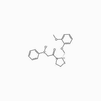 COc1ccccc1OC[C@@H]1SCCN1C(=O)C[S+]([O-])c1ccccc1